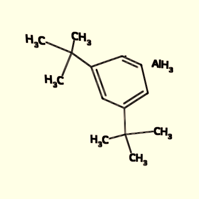 CC(C)(C)c1[c]ccc(C(C)(C)C)c1.[AlH3]